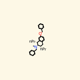 CCC[C@H]1Cc2ccc(OCc3ccccc3)cc2[C@@H](CCC)[C@H]1N(C)Cc1ccccc1